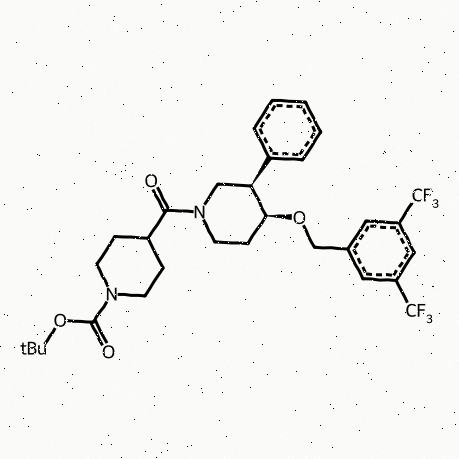 CC(C)(C)OC(=O)N1CCC(C(=O)N2CC[C@H](OCc3cc(C(F)(F)F)cc(C(F)(F)F)c3)[C@H](c3ccccc3)C2)CC1